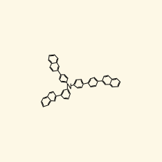 c1cc(-c2ccc3ccccc3c2)cc(N(c2ccc(-c3ccc(-c4ccc5ccccc5c4)cc3)cc2)c2ccc(-c3ccc4ccccc4c3)cc2)c1